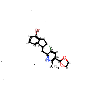 Cc1nc(CC2CCc3c(Br)cccc32)c(Cl)cc1C1OCCO1